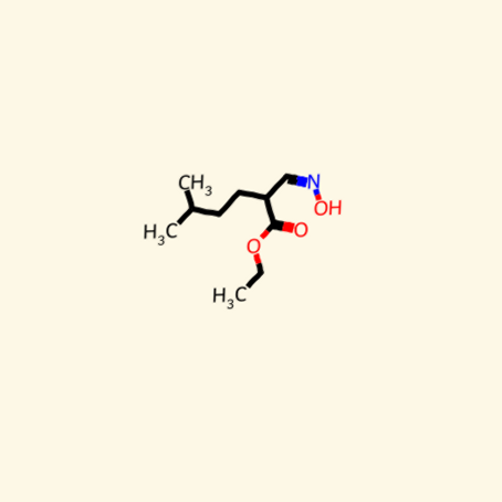 CCOC(=O)C(/C=N\O)CCC(C)C